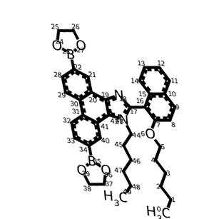 CCCCCCOc1ccc2ccccc2c1-c1nc2c3cc(B4OCCO4)ccc3c3ccc(B4OCCO4)cc3c2n1CCCCCC